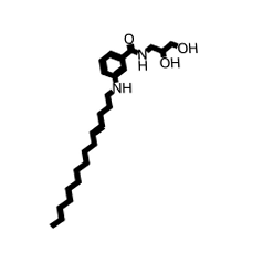 CCCCCCCCCCC=CCCCNc1cccc(C(=O)NCC(O)CO)c1